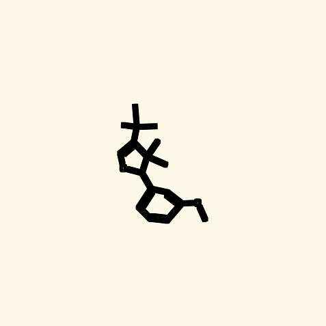 COc1cccc(C2OC=C(C(C)(C)C)C2(C)C)c1